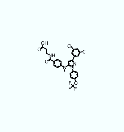 CN(c1ccc(C(=O)NCCC(=O)O)cc1)c1cc(-c2cc(Cl)cc(Cl)c2)nn1-c1ccc(OC(F)(F)F)cc1